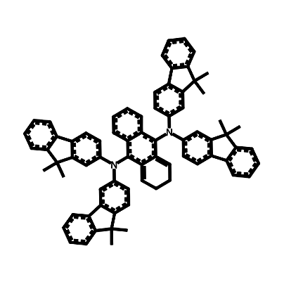 CC1(C)c2ccccc2-c2cc(N(c3ccc4c(c3)C(C)(C)c3ccccc3-4)c3c4c(c(N(c5ccc6c(c5)C(C)(C)c5ccccc5-6)c5ccc6c(c5)C(C)(C)c5ccccc5-6)c5ccccc35)=CCCC=4)ccc21